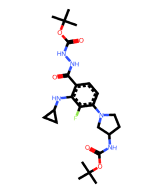 CC(C)(C)OC(=O)NNC(=O)c1ccc(N2CCC(NC(=O)OC(C)(C)C)C2)c(F)c1NC1CC1